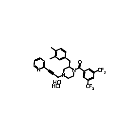 Cc1ccc(C[C@@H]2CN(CC#Cc3ccccn3)CCN2C(=O)c2cc(C(F)(F)F)cc(C(F)(F)F)c2)cc1C.Cl.Cl